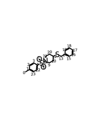 Cc1ccc(S(=O)(=O)N2CCC(SCc3ccccc3)CC2)cc1